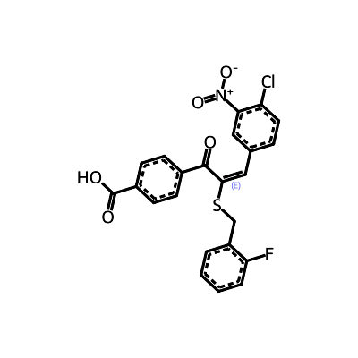 O=C(O)c1ccc(C(=O)/C(=C\c2ccc(Cl)c([N+](=O)[O-])c2)SCc2ccccc2F)cc1